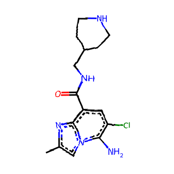 Cc1cn2c(N)c(Cl)cc(C(=O)NCC3CCNCC3)c2n1